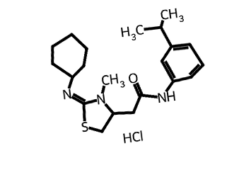 CC(C)c1cccc(NC(=O)CC2CSC(=NC3CCCCC3)N2C)c1.Cl